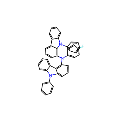 Fc1ccc(N(c2cccc3c2c2ccccc2n3-c2ccccc2)c2cccc3c4ccccc4n(-c4ccccc4)c23)cc1